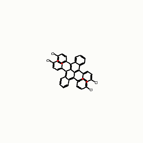 Clc1ccc(-c2c3ccccc3c(-c3ccc(Cl)cc3)c3c(-c4ccc(Cl)cc4)c4ccccc4c(-c4ccc(Cl)cc4)c23)cc1